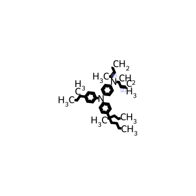 C=C/C=C(\C)N(C(=C)/C=C\C)c1ccc(N(c2ccc(C(C)CC)cc2)c2ccc(C(C)(CCC)CCCC)cc2)cc1